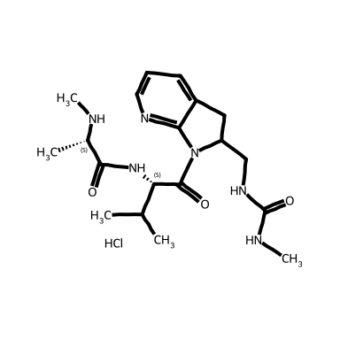 CNC(=O)NCC1Cc2cccnc2N1C(=O)[C@@H](NC(=O)[C@H](C)NC)C(C)C.Cl